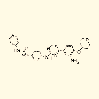 Nc1cc(-c2ccnc(Nc3ccc(NC(=O)Nc4ccncc4)cc3)n2)ccc1OC1CCOCC1